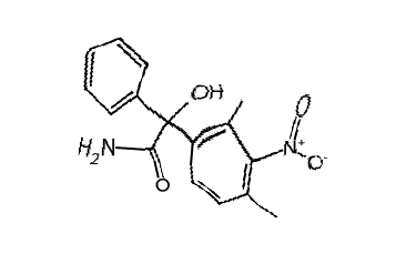 Cc1ccc(C(O)(C(N)=O)c2ccccc2)c(C)c1[N+](=O)[O-]